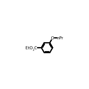 CCCOc1cccc(C(=O)OCC)c1